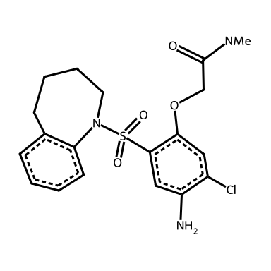 CNC(=O)COc1cc(Cl)c(N)cc1S(=O)(=O)N1CCCCc2ccccc21